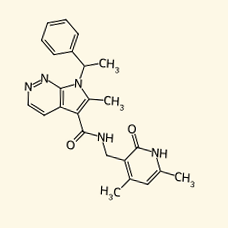 Cc1cc(C)c(CNC(=O)c2c(C)n(C(C)c3ccccc3)c3nnccc23)c(=O)[nH]1